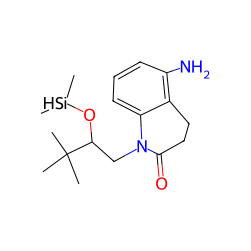 C[SiH](C)OC(CN1C(=O)CCc2c(N)cccc21)C(C)(C)C